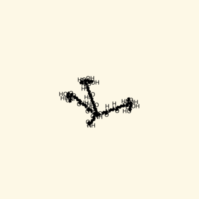 CNC(=O)CCCC(=O)NC(COCCC(=O)NCCCNC(=O)CCCCO[C@@H]1OC(CO)[C@H](O)C(O)[C@@H]1NC(C)=O)(COCCC(=O)NCCCNC(=O)CCCCO[C@@H]1OC(CO)[C@H](O)C(O)[C@@H]1NC(C)=O)COCCC(=O)NCCCNC(=O)CCCCO[C@@H]1OC[C@H](O)C(O)[C@@H]1NC(C)=O